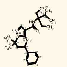 CCC(CC)(NC(=O)c1cnn2c1NC(c1ccccc1)CC2(C)C)C(C)C